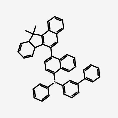 CC1(C)c2c(c(-c3ccc(N(c4ccccc4)c4cccc(-c5ccccc5)c4)c4ccccc34)cc3ccccc23)C2C=CC=CC21